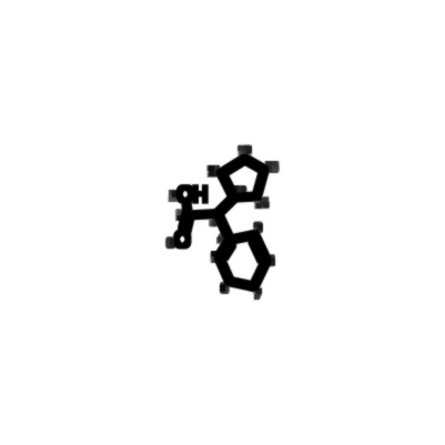 O=C(O)C(C1=CCCC=C1)C1CCCC1